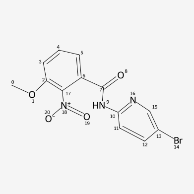 COc1cccc(C(=O)Nc2ccc(Br)cn2)c1[N+](=O)[O-]